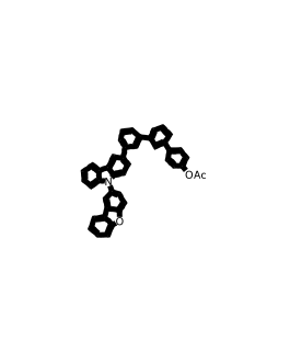 CC(=O)Oc1ccc(-c2cccc(-c3cccc(-c4ccc5c(c4)c4ccccc4n5-c4ccc5oc6ccccc6c5c4)c3)c2)cc1